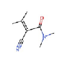 CC(C)=C(C#N)C(=O)N(C)C